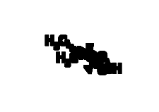 CCCCCN1CCN(c2cc3c(cc2F)c(=O)c(OC(=O)O)cn3C2CC2)CC1C